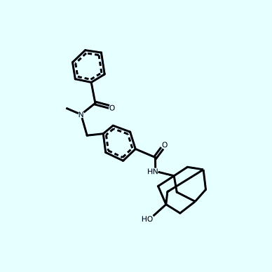 CN(Cc1ccc(C(=O)NC23CC4CC(CC(O)(C4)C2)C3)cc1)C(=O)c1ccccc1